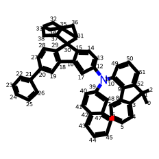 CC1(C)c2ccccc2-c2c(N(c3ccc4c(c3)-c3cc(-c5ccccc5)ccc3C43C4CC5CC(C4)C3C5)c3ccc4ccccc4c3)cccc21